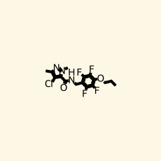 CCCOc1c(F)c(F)c(CNC(=O)c2c(Cl)c(C)nn2C)c(F)c1F